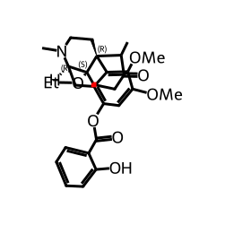 CCO[C@@]12CCC(=O)C(C)[C@@]13CCN(C)[C@@H]2Cc1c(OC(=O)c2ccccc2O)cc(OC)c(OC)c13